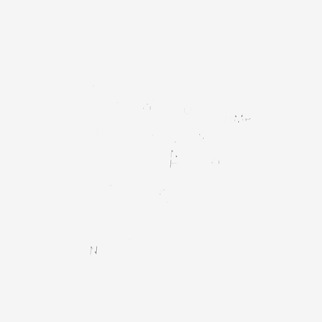 COS(=O)(=O)NC1OC(C)(C)OC1c1ccncc1Cl